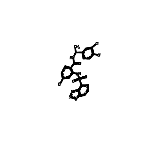 CC(NC(=O)c1ccc(Cl)cc1NS(=O)(=O)c1cccc2nsnc12)c1ccc(Cl)c(Cl)c1